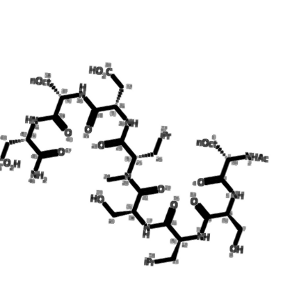 CCCCCCCC[C@H](NC(C)=O)C(=O)N[C@@H](CO)C(=O)N[C@@H](CC(C)C)C(=O)N[C@@H](CO)C(=O)N(C)[C@@H](CC(C)C)C(=O)N[C@@H](CC(=O)O)C(=O)N[C@@H](CCCCCCCC)C(=O)N[C@@H](CC(=O)O)C(N)=O